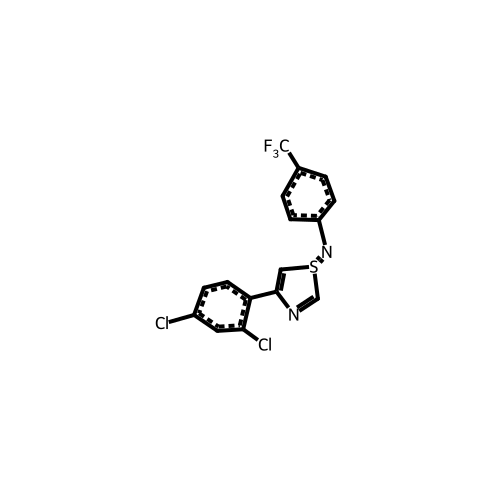 FC(F)(F)c1ccc(N=S2C=NC(c3ccc(Cl)cc3Cl)=C2)cc1